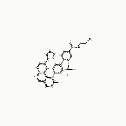 NCCNC(=O)c1ccc(-c2ccc(-n3c(=O)ccc4cnc5ccc(-c6cccs6)cc5c43)cc2C(F)(F)F)cc1